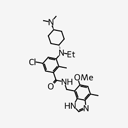 CCN(c1cc(Cl)cc(C(=O)NCc2c(OC)cc(C)c3nc[nH]c23)c1C)[C@H]1CC[C@H](N(C)C)CC1